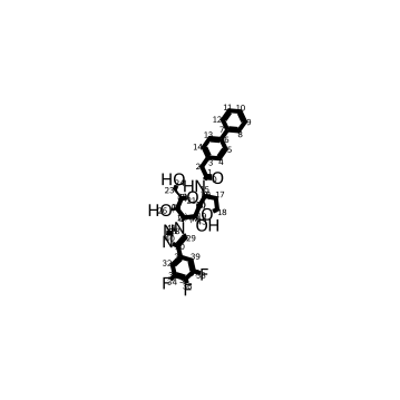 O=C(Cc1ccc(-c2ccccc2)cc1)N[C@@H]1CCO[C@]12O[C@H](CO)[C@H](O)[C@H](n1cc(-c3cc(F)c(F)c(F)c3)nn1)[C@H]2O